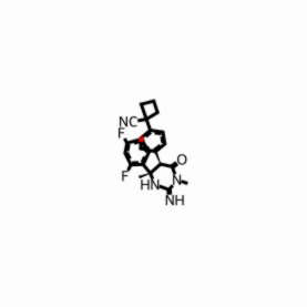 CN1C(=N)N[C@](C)(c2ccc(F)cc2F)[C@@H](c2ccc(C3(C#N)CCC3)cc2)C1=O